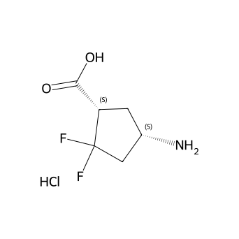 Cl.N[C@H]1C[C@@H](C(=O)O)C(F)(F)C1